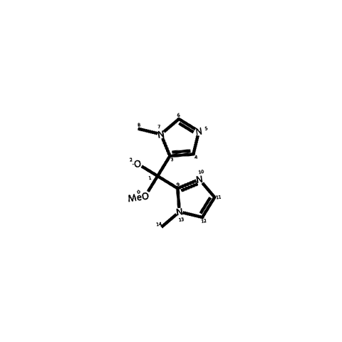 COC([O])(c1cncn1C)c1nccn1C